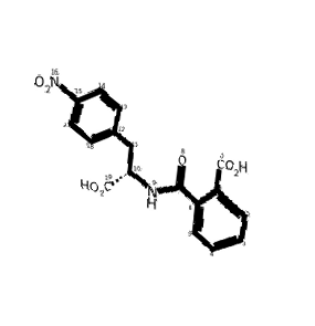 O=C(O)c1ccccc1C(=O)N[C@@H](Cc1ccc([N+](=O)[O-])cc1)C(=O)O